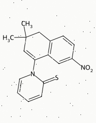 CC1(C)C=C(n2ccccc2=S)c2cc([N+](=O)[O-])ccc2C1